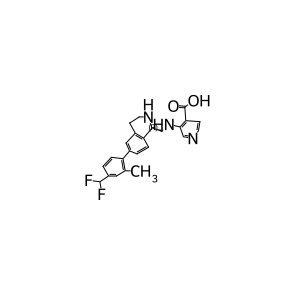 Cc1cc(C(F)F)ccc1-c1ccc2c(c1)CCN[C@H]2CNc1cnccc1C(=O)O